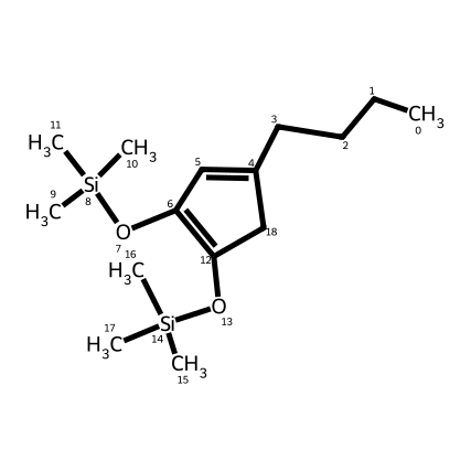 CCCCC1=CC(O[Si](C)(C)C)=C(O[Si](C)(C)C)C1